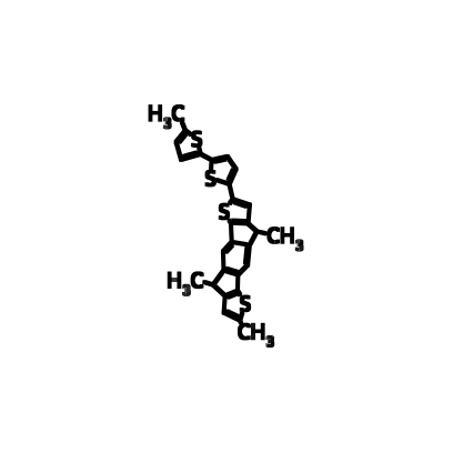 Cc1ccc(-c2ccc(-c3cc4c(s3)-c3cc5c(cc3C4C)-c3sc(C)cc3C5C)s2)s1